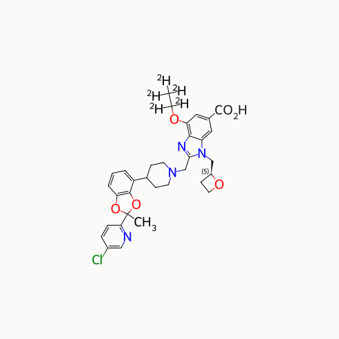 [2H]C([2H])([2H])C([2H])([2H])Oc1cc(C(=O)O)cc2c1nc(CN1CCC(c3cccc4c3OC(C)(c3ccc(Cl)cn3)O4)CC1)n2C[C@@H]1CCO1